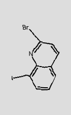 Brc1ccc2cccc(I)c2n1